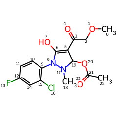 COCC(=O)C1=C(O)N(c2ccc(F)cc2Cl)N(C)C1OC(C)=O